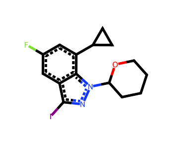 Fc1cc(C2CC2)c2c(c1)c(I)nn2C1CCCCO1